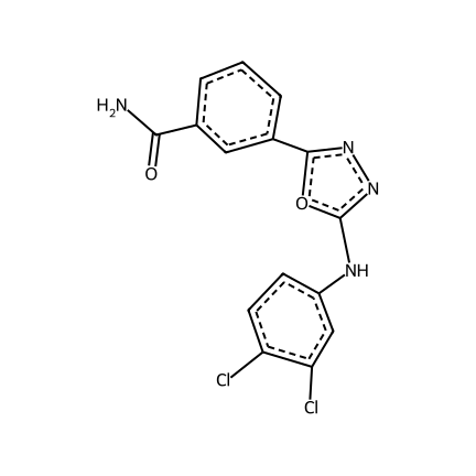 NC(=O)c1cccc(-c2nnc(Nc3ccc(Cl)c(Cl)c3)o2)c1